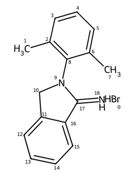 Br.Cc1cccc(C)c1N1Cc2ccccc2C1=N